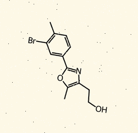 Cc1ccc(-c2nc(CCO)c(C)o2)cc1Br